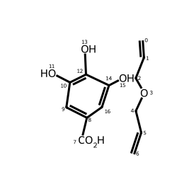 C=CCOCC=C.O=C(O)c1cc(O)c(O)c(O)c1